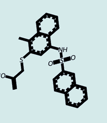 C=C(O)CSc1cc(NS(=O)(=O)c2ccc3ccccc3c2)c2ccccc2c1C